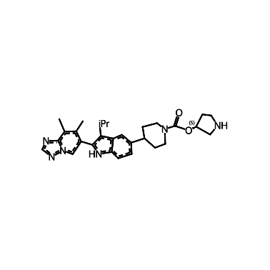 Cc1c(-c2[nH]c3ccc(C4CCN(C(=O)O[C@H]5CCNC5)CC4)cc3c2C(C)C)cn2ncnc2c1C